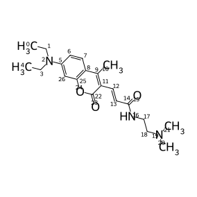 CCN(CC)c1ccc2c(C)c(C=CC(=O)NCCN(C)C)c(=O)oc2c1